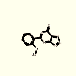 CC(C)(C)Oc1ccccc1C1=NC(=O)C2=NN=NC2=N1